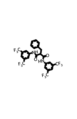 O=C(Nc1cc(C(F)(F)F)cc(C(F)(F)F)c1)C(Cc1ccccc1)C(=O)Nc1cc(C(F)(F)F)cc(C(F)(F)F)c1